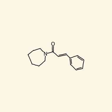 O=C(C=Cc1ccccc1)N1CCCCCC1